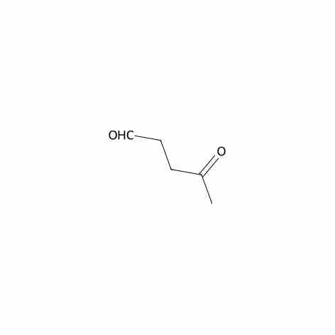 CC(=O)CCC=O